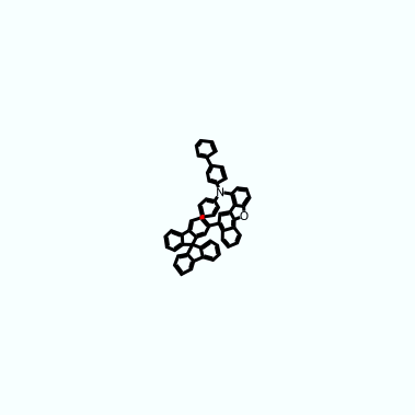 c1ccc(-c2ccc(N(c3ccccc3)c3cccc4oc5c6ccccc6c(-c6ccc7c(c6)C6(c8ccccc8-c8ccccc86)c6ccccc6-7)cc5c34)cc2)cc1